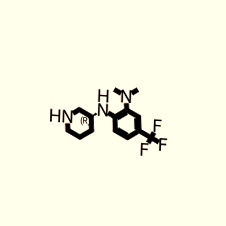 CN(C)c1cc(C(F)(F)F)ccc1N[C@@H]1CCCNC1